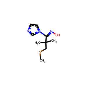 CSCC(C)(C)C(=NO)n1ccnc1